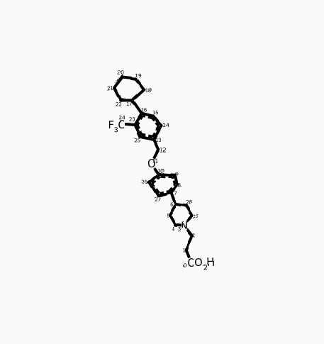 O=C(O)CCN1CCC(c2ccc(OCc3ccc(C4CCCCC4)c(C(F)(F)F)c3)cc2)CC1